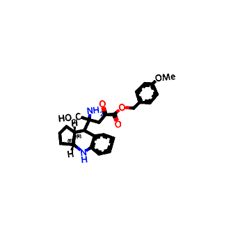 COc1ccc(COC(=O)C(=O)CC(N)(C(=O)O)C2c3ccccc3N[C@@H]3CCC[C@H]23)cc1